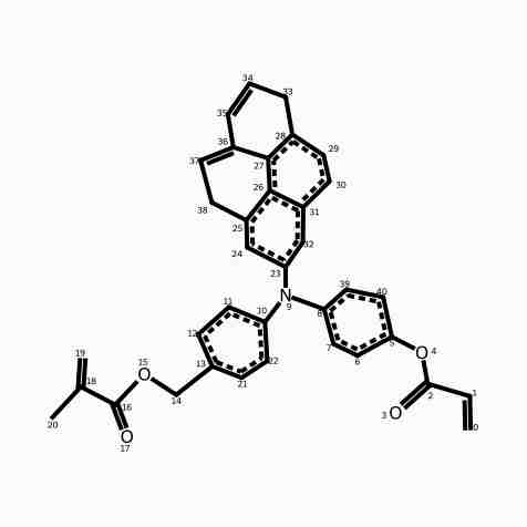 C=CC(=O)Oc1ccc(N(c2ccc(COC(=O)C(=C)C)cc2)c2cc3c4c5c(ccc4c2)CC=CC5=CC3)cc1